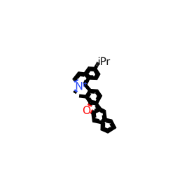 Cc1c(-c2c3ccc(C(C)C)cc3cc[n+]2C)ccc2c1oc1cc3ccccc3cc12